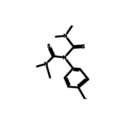 [CH2]c1ccc(N(C(=S)N(C)C)C(=S)N(C)C)cc1